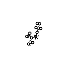 C=C(c1cc(-c2c(C)nc(C)c(-c3ccc(-c4c5ccccc5c(-c5cccc6ccccc56)c5ccccc45)cc3)c2C)cc(-n2c3ccccc3c3ccccc32)c1)c1ccccc1-c1ccccc1C